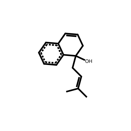 CC(C)=CCC1(O)CC=Cc2ccccc21